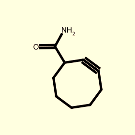 NC(=O)C1C#CCCCCC1